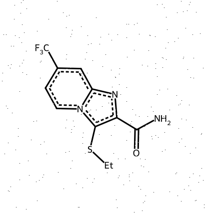 CCSc1c(C(N)=O)nc2cc(C(F)(F)F)ccn12